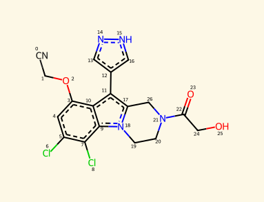 N#CCOc1cc(Cl)c(Cl)c2c1c(-c1cn[nH]c1)c1n2CCN(C(=O)CO)C1